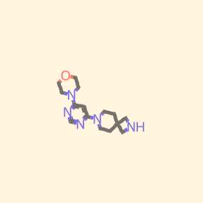 c1nc(N2CCOCC2)cc(N2CCC3(CC2)CNC3)n1